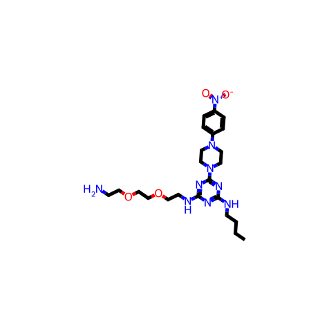 CCCCNc1nc(NCCOCCOCCN)nc(N2CCN(c3ccc([N+](=O)[O-])cc3)CC2)n1